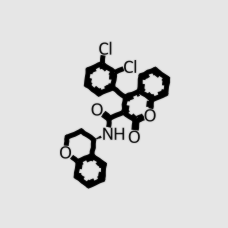 O=C(N[C@H]1CCOc2ccccc21)c1c(-c2cccc(Cl)c2Cl)c2ccccc2oc1=O